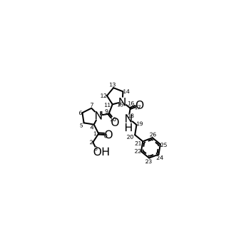 O=C(CO)C1CCCN1C(=O)C1CCCN1C(=O)NCCc1ccccc1